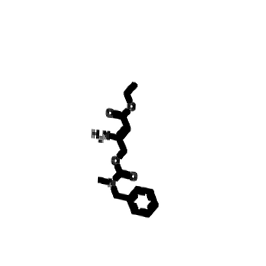 CCOC(=O)C=C(N)COC(=O)N(C)Cc1ccccc1